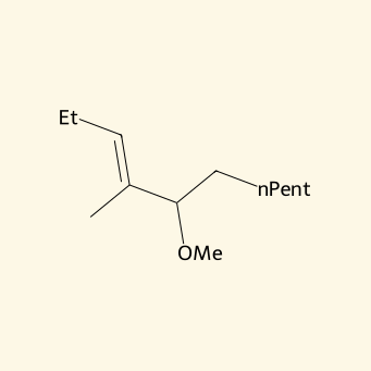 CC/C=C(\C)C(CCCCCC)OC